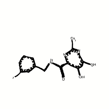 Cc1nc(O)c(O)c(C(=O)NCc2cccc(F)c2)n1